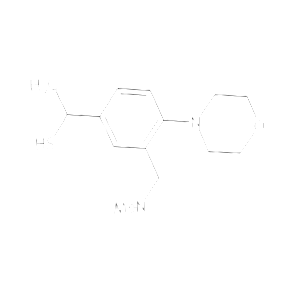 CNCc1cc(C(C)S)ccc1N1CCOCC1